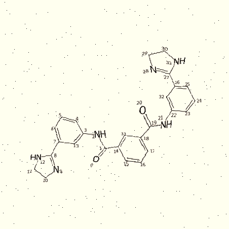 O=C(Nc1cccc(C2=NCCN2)c1)c1cccc(C(=O)Nc2cccc(C3=NCCN3)c2)c1